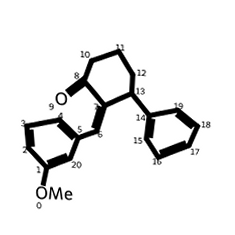 COc1cccc(/C=C2\C(=O)CCCC2c2ccccc2)c1